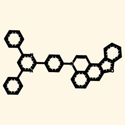 C1=CN(c2ccc(-c3nc(-c4ccccc4)cc(-c4ccccc4)n3)cc2)c2cccc3cc4oc5ccccc5c4c1c23